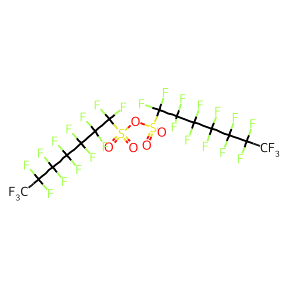 O=S(=O)(OS(=O)(=O)C(F)(F)C(F)(F)C(F)(F)C(F)(F)C(F)(F)C(F)(F)C(F)(F)F)C(F)(F)C(F)(F)C(F)(F)C(F)(F)C(F)(F)C(F)(F)C(F)(F)F